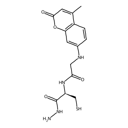 Cc1cc(=O)oc2cc(NCC(=O)N[C@@H](CS)C(=O)NN)ccc12